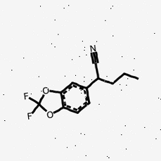 CCCC(C#N)c1ccc2c(c1)OC(F)(F)O2